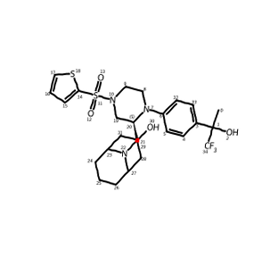 CC(O)(c1ccc(N2CCN(S(=O)(=O)c3cccs3)C[C@@H]2CN2C3CCCC2CC(O)C3)cc1)C(F)(F)F